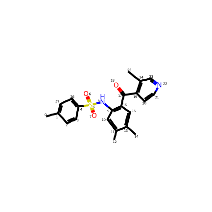 Cc1ccc(S(=O)(=O)Nc2cc(C)c(C)cc2C(=O)c2ccncc2C)cc1